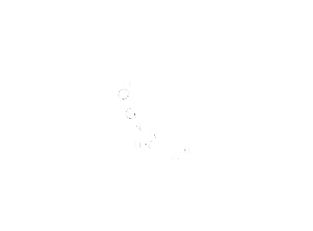 NC(CCCCB(O)O)(C(=O)O)[C@H]1C[C@@H](NCc2ccc(Oc3ccc(Cl)cc3)cc2)C1